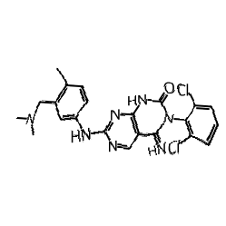 Cc1ccc(Nc2ncc3c(=N)n(-c4c(Cl)cccc4Cl)c(=O)[nH]c3n2)cc1CN(C)C